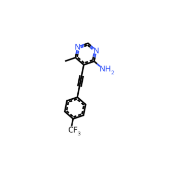 Cc1ncnc(N)c1C#Cc1ccc(C(F)(F)F)cc1